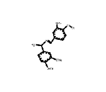 CCOc1ccc(C=NC(C)c2ccc(OC)c(OC)c2)cc1OC